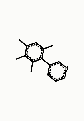 Cc1cc(C)c(-c2cccnc2)c(C)c1C